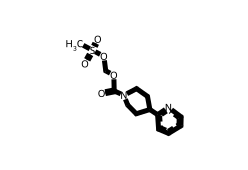 CS(=O)(=O)OCOC(=O)N1CCC(c2ccccn2)CC1